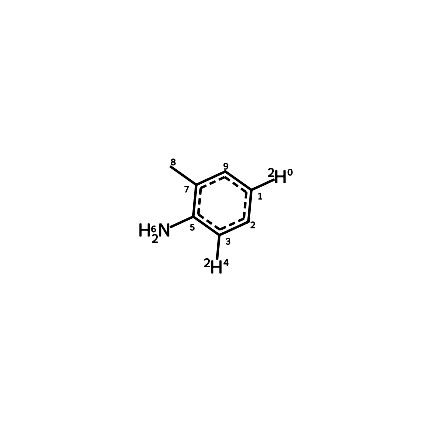 [2H]c1cc([2H])c(N)c(C)c1